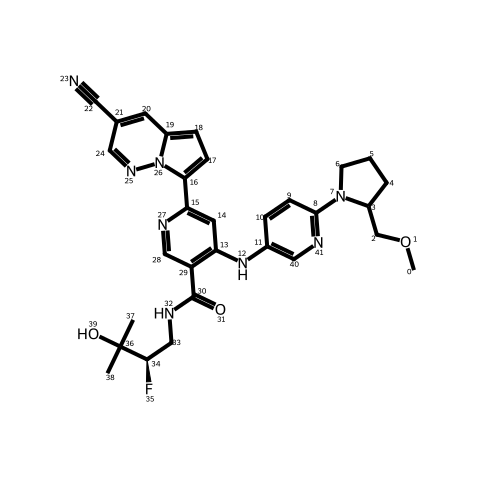 COCC1CCCN1c1ccc(Nc2cc(-c3ccc4cc(C#N)cnn34)ncc2C(=O)NC[C@@H](F)C(C)(C)O)cn1